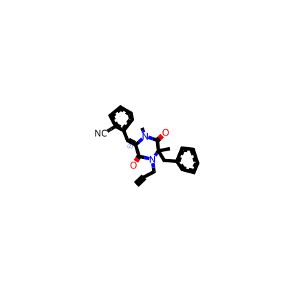 C#CCN1C(=O)/C(=C/c2ccccc2C#N)N(C)C(=O)C1(C)Cc1ccccc1